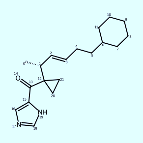 C[C@H](/C=C/CCC1CCCCC1)C1(C(=O)c2cnc[nH]2)CC1